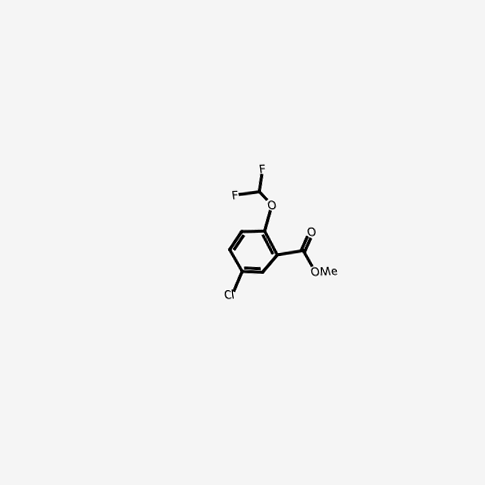 COC(=O)c1cc(Cl)ccc1OC(F)F